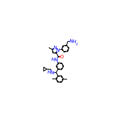 Cc1ccc(C)c(C(NCC2CC2)c2cccc(NC(=O)c3cc(C)nn3-c3cccc(CN)c3)c2)c1